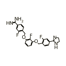 N=C(N)c1ccc(COc2cccc(OCc3ccc(C4=NCCN4)cc3F)c2F)c(F)c1